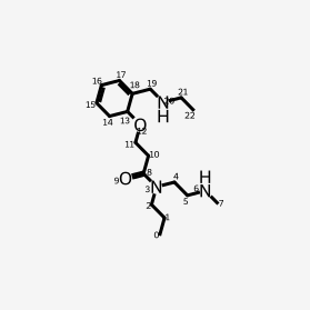 CCCN(CCNC)C(=O)CCOC1CC=CC=C1CNCC